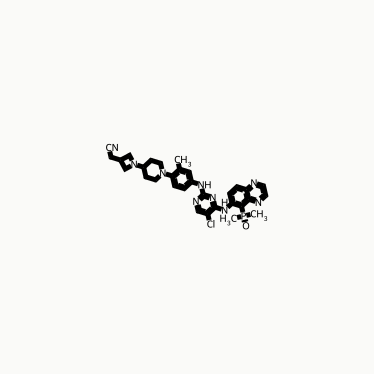 Cc1cc(Nc2ncc(Cl)c(Nc3ccc4nccnc4c3P(C)(C)=O)n2)ccc1N1CCC(N2CC(CC#N)C2)CC1